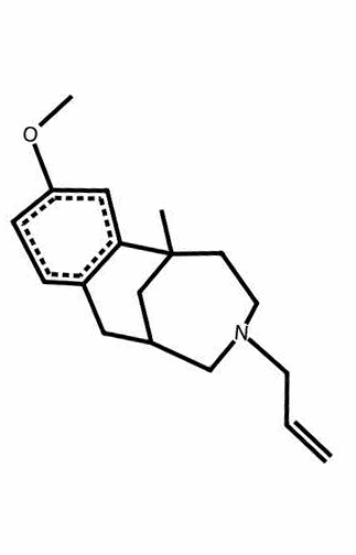 C=CCN1CCC2(C)CC(Cc3ccc(OC)cc32)C1